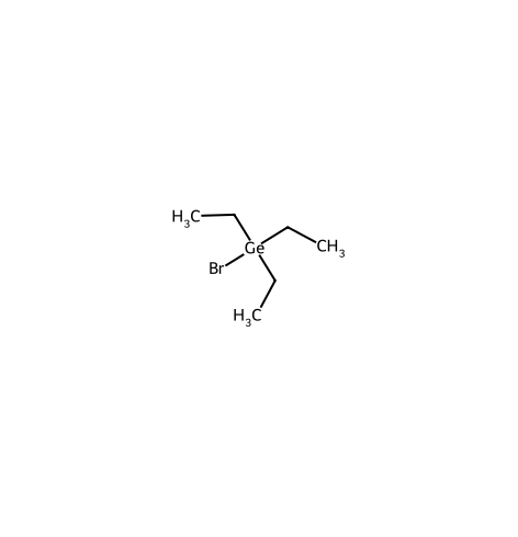 C[CH2][Ge]([Br])([CH2]C)[CH2]C